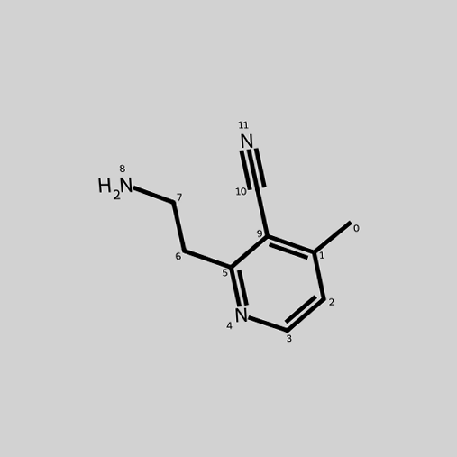 Cc1ccnc(CCN)c1C#N